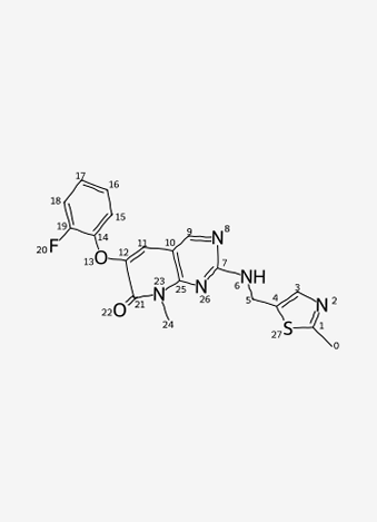 Cc1ncc(CNc2ncc3cc(Oc4ccccc4F)c(=O)n(C)c3n2)s1